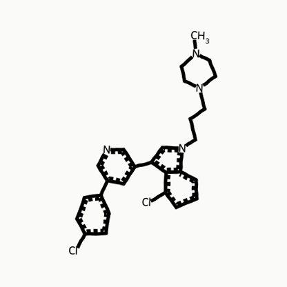 CN1CCN(CCCn2cc(-c3cncc(-c4ccc(Cl)cc4)c3)c3c(Cl)cccc32)CC1